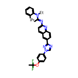 CCN(/C(C)=N/c1ccc2cc(-c3ncn(-c4ccc(OC(C)(F)F)cc4)n3)ccc2n1)c1ccccc1C(C)C